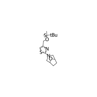 CC(C)(C)[Si](C)(C)OCc1csc(N2CC3CCC(C2)O3)n1